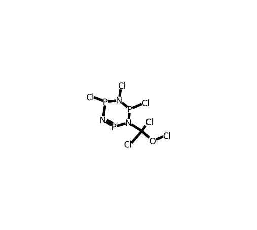 ClOC(Cl)(Cl)n1pnp(Cl)n(Cl)p1Cl